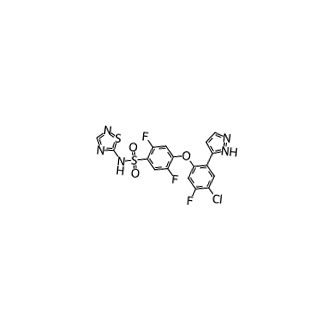 O=S(=O)(Nc1ncns1)c1cc(F)c(Oc2cc(F)c(Cl)cc2-c2ccn[nH]2)cc1F